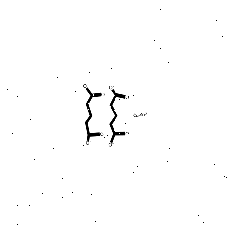 O=C([O-])CCCC(=O)[O-].O=C([O-])CCCC(=O)[O-].[Cu+2].[Zn+2]